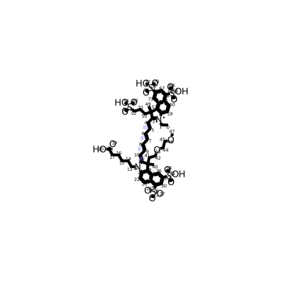 CC[N+]1=C(/C=C/C=C/C=C/C=C2/N(CCCCCC(=O)O)c3ccc4c(S(=O)(=O)[O-])cc(S(=O)(=O)O)cc4c3C2(C)CCOCCOC)C(C)(CCCS(=O)(=O)O)c2c1ccc1c(S(=O)(=O)O)cc(S(=O)(=O)O)cc21